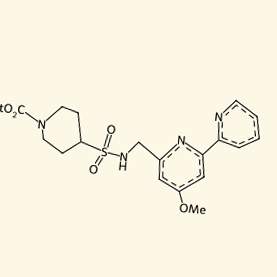 CCOC(=O)N1CCC(S(=O)(=O)NCc2cc(OC)cc(-c3ccccn3)n2)CC1